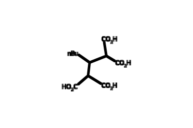 CCCCC(C(C(=O)O)C(=O)O)C(C(=O)O)C(=O)O